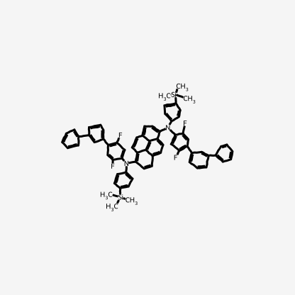 C[Si](C)(C)c1ccc(N(c2cc(F)c(-c3cccc(-c4ccccc4)c3)cc2F)c2ccc3ccc4c(N(c5ccc([Si](C)(C)C)cc5)c5cc(F)c(-c6cccc(-c7ccccc7)c6)cc5F)ccc5ccc2c3c54)cc1